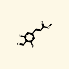 COC(=O)C=Cc1cc(F)c(C=O)c(F)c1